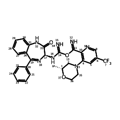 C[C@@H]1CN(c2cc(C(F)(F)F)cnc2C(=N)OC(=N)N[C@H]2N=C(c3ccccc3)c3ccccc3NC2=O)CCO1